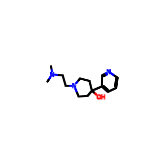 CN(C)CCN1CCC(O)(c2cccnc2)CC1